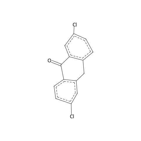 O=C1c2ccc(Cl)cc2Cc2ccc(Cl)cc21